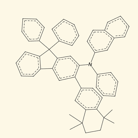 CC1(C)CCC(C)(C)c2cc(-c3cc4c(cc3N(c3ccccc3)c3ccc5ccccc5c3)C(c3ccccc3)(c3ccccc3)c3ccccc3-4)ccc21